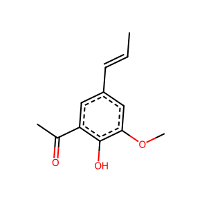 CC=Cc1cc(OC)c(O)c(C(C)=O)c1